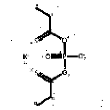 CCC(=S)OP(=O)([O-])OC(=S)CC.[K+]